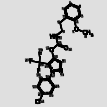 COc1ccccc1CCNC(=O)Oc1cnn(-c2ccc(Cl)cc2)c1C(F)(F)F